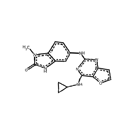 Cn1c(=O)[nH]c2cc(Nc3nc(NC4CC4)c4occc4n3)ccc21